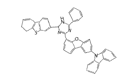 C1=Cc2c(sc3cc(C4N=C(c5cccc6c5oc5ccc(-n7c8ccccc8c8ccccc87)cc56)N=C(c5ccccc5)N4)ccc23)CC1